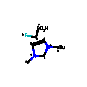 CCCCN1C=CN(C)C1.O=S(=O)(O)CF